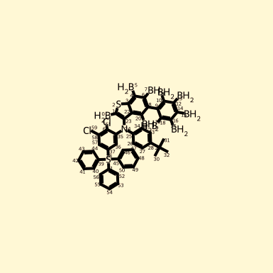 Bc1sc2c(B)c(B)c(-c3c(B)c(B)c(B)c(B)c3B)c(B)c2c1N(c1ccc(C(C)(C)C)cc1)c1cc(S(c2ccccc2)(c2ccccc2)c2ccccc2)cc(Cl)c1Cl